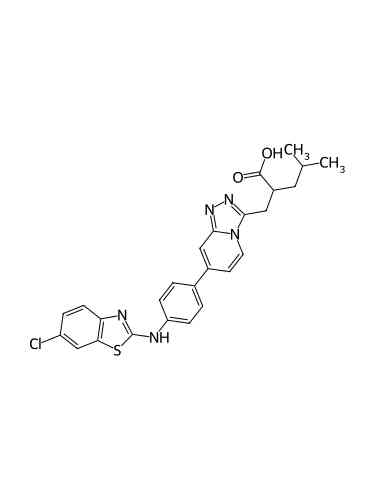 CC(C)CC(Cc1nnc2cc(-c3ccc(Nc4nc5ccc(Cl)cc5s4)cc3)ccn12)C(=O)O